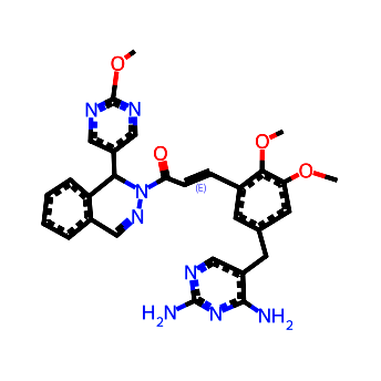 COc1ncc(C2c3ccccc3C=NN2C(=O)/C=C/c2cc(Cc3cnc(N)nc3N)cc(OC)c2OC)cn1